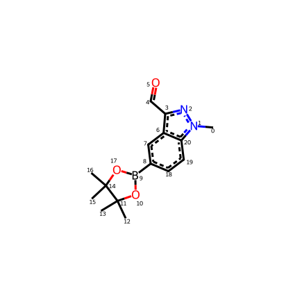 Cn1nc(C=O)c2cc(B3OC(C)(C)C(C)(C)O3)ccc21